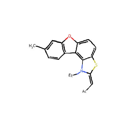 CCN1C(=CC(C)=O)Sc2ccc3oc4cc(C)ccc4c3c21